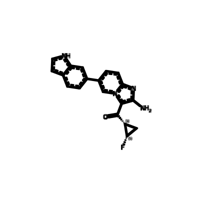 Nc1nc2ccc(-c3ccc4cc[nH]c4c3)cn2c1C(=O)[C@@H]1C[C@@H]1F